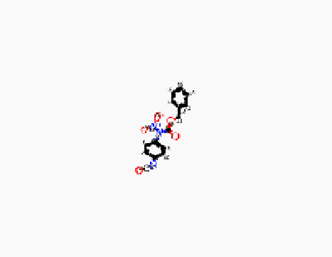 O=C=Nc1ccc(N(C(=O)OCc2ccccc2)[N+](=O)[O-])cc1